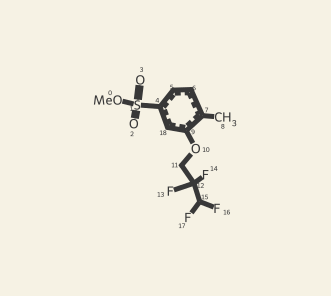 COS(=O)(=O)c1ccc(C)c(OCC(F)(F)C(F)F)c1